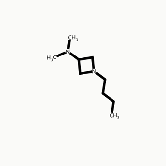 CCCCN1CC(N(C)C)C1